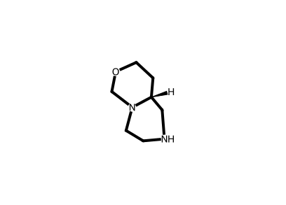 C1CN2COCC[C@@H]2CN1